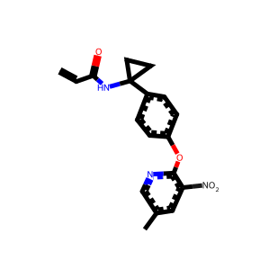 C=CC(=O)NC1(c2ccc(Oc3ncc(C)cc3[N+](=O)[O-])cc2)CC1